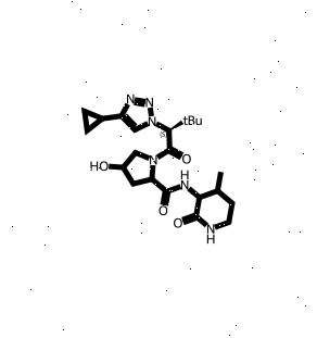 CC1CCNC(=O)C1NC(=O)C1CC(O)CN1C(=O)[C@@H](n1cc(C2CC2)nn1)C(C)(C)C